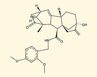 C=C1C[C@]23C[C@@]1(O)CC[C@H]2C1=C[C@H]2CC(=O)[C@@](C)(C1[C@@H]3C(=O)NCc1ccc(OC)cc1OC)[C@H]2O